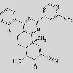 Cc1cc(-c2nc(-c3ccccc3F)c3c(n2)[C@]2(C)C=C(C#N)C(=O)C(C)C2CC3)ccn1